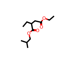 CCOC(=O)CC(CC)C(=O)OCC(C)C